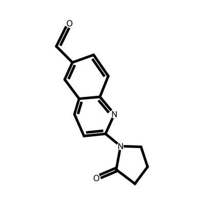 O=Cc1ccc2nc(N3CCCC3=O)ccc2c1